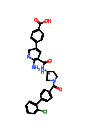 Nc1ncc(-c2ccc(C(=O)O)cc2)cc1C(=O)N[C@@H]1CCN(C(=O)c2ccc(-c3ccccc3Cl)cc2)C1